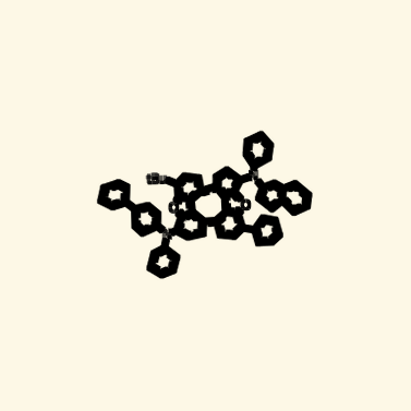 CC(C)(C)c1ccc2c3ccc(N(c4ccccc4)c4ccc5ccccc5c4)c4oc5c(-c6ccccc6)ccc(c6ccc(N(c7ccccc7)c7ccc(-c8ccccc8)cc7)c7oc1c2c76)c5c43